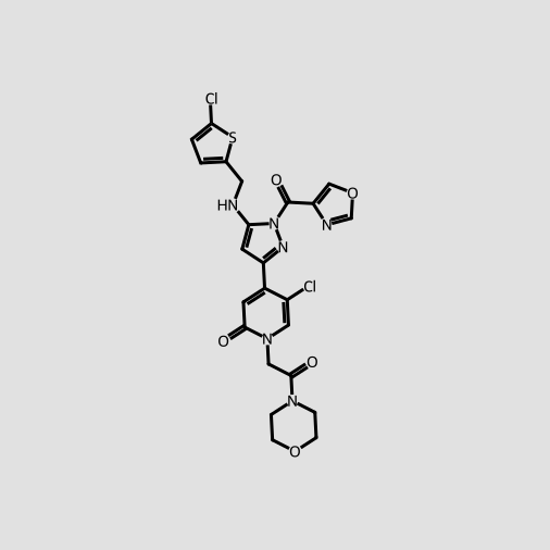 O=C(Cn1cc(Cl)c(-c2cc(NCc3ccc(Cl)s3)n(C(=O)c3cocn3)n2)cc1=O)N1CCOCC1